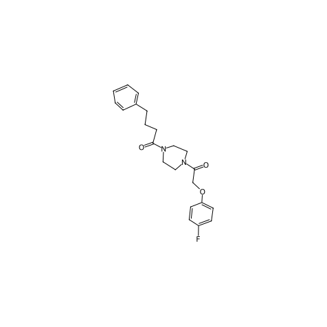 O=C(CCCc1ccccc1)N1CCN(C(=O)COc2ccc(F)cc2)CC1